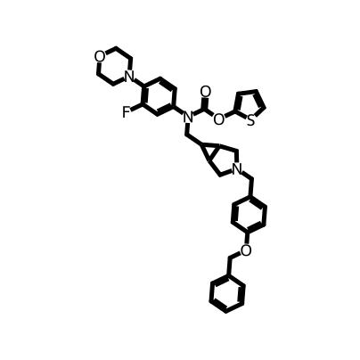 O=C(Oc1cccs1)N(CC1C2CN(Cc3ccc(OCc4ccccc4)cc3)CC21)c1ccc(N2CCOCC2)c(F)c1